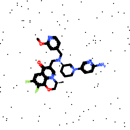 COc1cc(CN(Cc2cn3c4c(c(F)c(F)cc4c2=O)OC[C@H]3C)[C@H]2CCCN(c3ccc(N)nc3)C2)ccn1